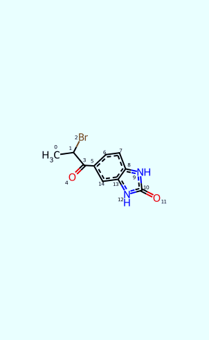 CC(Br)C(=O)c1ccc2[nH]c(=O)[nH]c2c1